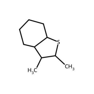 CC1SC2CCCCC2C1C